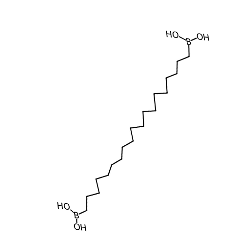 OB(O)CCCCCCCCCCCCCCCCCCCB(O)O